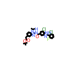 CC(C)n1c(NC(=O)c2cc(Cl)c3[nH]c(-c4c(F)cccc4Cl)nc3c2)nc2cc(CC(=O)OC(C)(C)C)ccc21